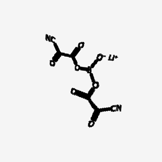 N#CC(=O)C(=O)OB([O-])OC(=O)C(=O)C#N.[Li+]